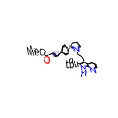 COC(=O)/C=C/c1ccc([C@@H]2CCCN2CCc2c(C(C)(C)C)[nH]c3ncccc23)cc1